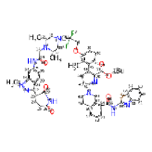 Cc1c(OCC(F)(F)CN2C[C@@H](C)N(CC(=O)Nc3ccc4c(C5CCC(=O)NC5=O)nn(C)c4c3)[C@@H](C)C2)cccc1-c1ccc(N2CCc3cccc(C(=O)Nc4nc5ccccc5s4)c3C2)nc1C(=O)OC(C)(C)C